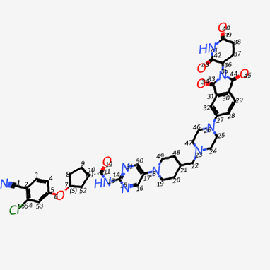 N#Cc1ccc(O[C@H]2CC[C@H](C(=O)Nc3ncc(N4CCC(CN5CCN(c6ccc7c(c6)C(=O)N(C6CCC(=O)NC6=O)C7=O)CC5)CC4)cn3)C2)cc1Cl